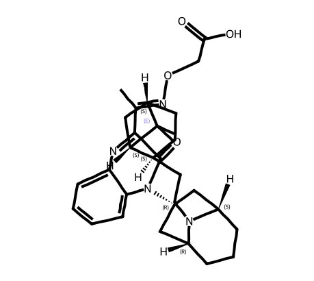 C/C(=N\OCC(=O)O)c1nc2ccccc2n([C@H]2C[C@H]3CCC[C@@H](C2)N3CC[C@@H]2CC[C@H]3C[C@@H]2C3(C)C)c1=O